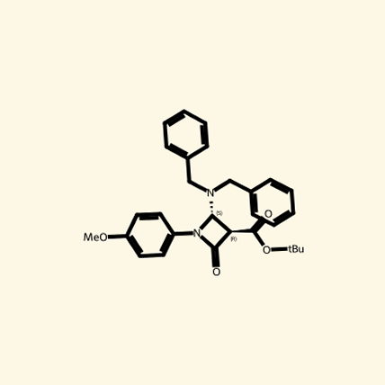 COc1ccc(N2C(=O)[C@H](C(=O)OC(C)(C)C)[C@H]2N(Cc2ccccc2)Cc2ccccc2)cc1